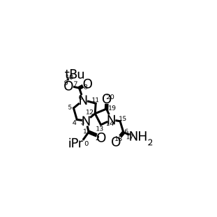 CC(C)C(=O)N1CCN(C(=O)OC(C)(C)C)CC12CN(CC(N)=O)C2=O